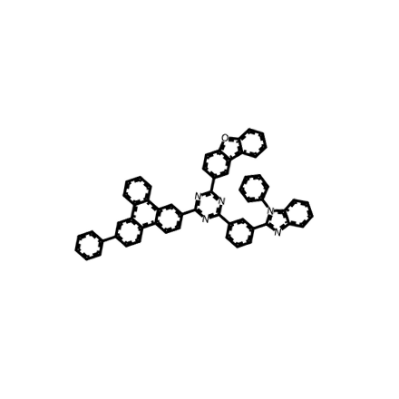 c1ccc(-c2ccc3c4ccc(-c5nc(-c6cccc(-c7nc8ccccc8n7-c7ccccc7)c6)nc(-c6ccc7oc8ccccc8c7c6)n5)cc4c4ccccc4c3c2)cc1